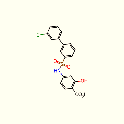 O=C(O)c1ccc(NS(=O)(=O)c2cccc(-c3cccc(Cl)c3)c2)cc1O